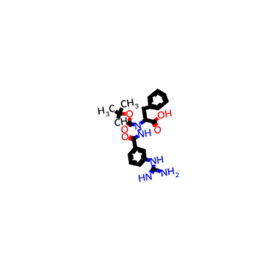 CC(C)(C)OC(=O)N(NC(=O)c1cccc(NC(=N)N)c1)C(Cc1ccccc1)C(=O)O